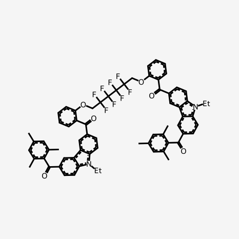 CCn1c2ccc(C(=O)c3ccccc3OCC(F)(F)C(F)(F)C(F)(F)C(F)(F)COc3ccccc3C(=O)c3ccc4c(c3)c3cc(C(=O)c5c(C)cc(C)cc5C)ccc3n4CC)cc2c2cc(C(=O)c3c(C)cc(C)cc3C)ccc21